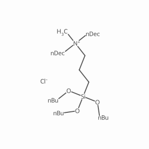 CCCCCCCCCC[N+](C)(CCCCCCCCCC)CCC[Si](OCCCC)(OCCCC)OCCCC.[Cl-]